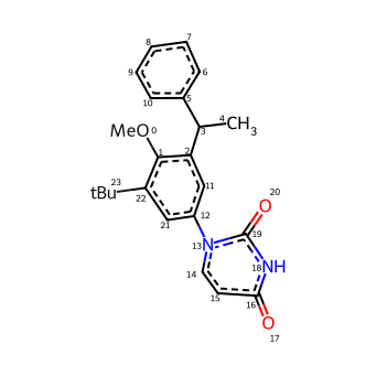 COc1c(C(C)c2ccccc2)cc(-n2ccc(=O)[nH]c2=O)cc1C(C)(C)C